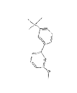 COc1cccc(-c2cccc(C(C)(C)C)c2)c1